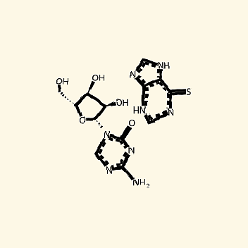 Nc1ncn([C@@H]2O[C@H](CO)[C@@H](O)[C@H]2O)c(=O)n1.S=c1nc[nH]c2nc[nH]c12